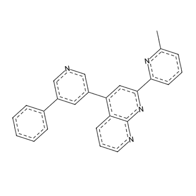 Cc1cccc(-c2cc(-c3cncc(-c4ccccc4)c3)c3cccnc3n2)n1